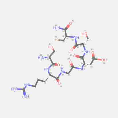 N=C(N)NCCC[C@H](NC(=O)[C@@H](N)CO)C(=O)NCC(=O)N[C@@H](CC(=O)O)C(=O)N[C@@H](CO)C(=O)N[C@@H](CS)C(N)=O